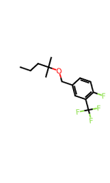 CCCC(C)(C)OCc1ccc(F)c(C(F)(F)F)c1